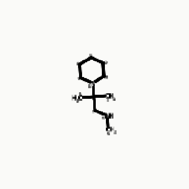 CNCC(C)(C)N1CCCCC1